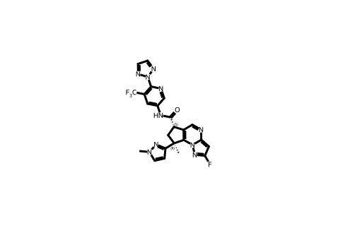 Cn1ccc([C@@]2(C)C[C@H](C(=O)Nc3cnc(-n4nccn4)c(C(F)(F)F)c3)c3cnc4cc(F)nn4c32)n1